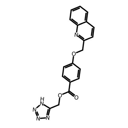 O=C(OCc1nnn[nH]1)c1ccc(OCc2ccc3ccccc3n2)cc1